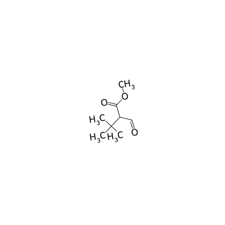 COC(=O)C(C=O)C(C)(C)C